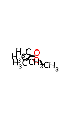 CCCOC(=O)C(C)C(C)(C)C